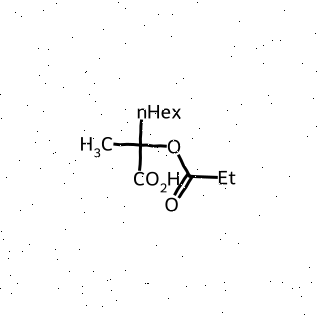 CCCCCCC(C)(OC(=O)CC)C(=O)O